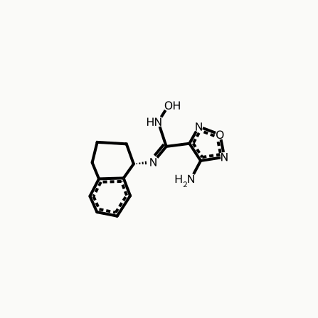 Nc1nonc1C(=N[C@H]1CCCc2ccccc21)NO